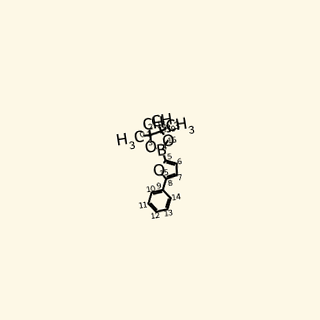 CC1(C)OB(c2ccc(-c3ccccc3)o2)OC1(C)C